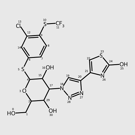 OCC1OC(Sc2ccc(SC(F)(F)F)c(Cl)c2)C(O)C(n2cc(-c3csc(O)n3)nn2)C1O